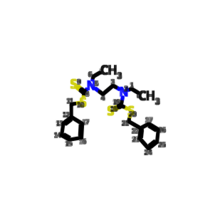 CCN(CCN(CC)C(=S)SCc1ccccc1)C(=S)SCc1ccccc1